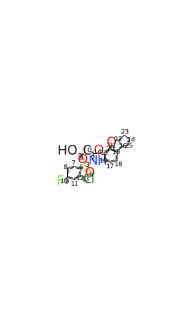 O=C(O)C(NS(=O)(=O)c1ccc(F)cc1Cl)Oc1cccc2c1OC1CCCC21